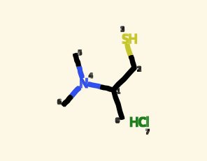 CC(CS)N(C)C.Cl